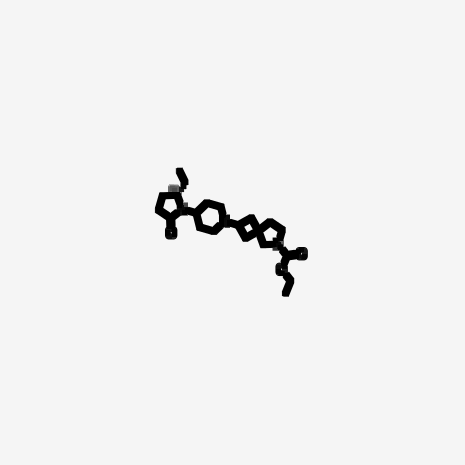 CCOC(=O)N1CCC2(CC(N3CCC(N4C(=O)CC[C@@H]4CC)CC3)C2)C1